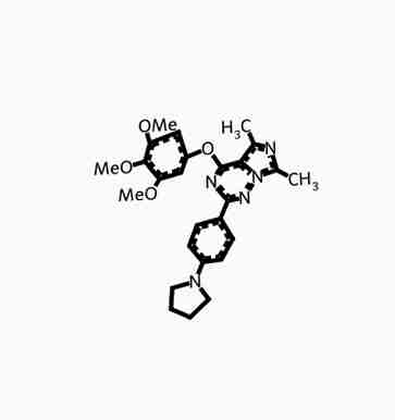 COc1cc(Oc2nc(-c3ccc(N4CCCC4)cc3)nn3c(C)nc(C)c23)cc(OC)c1OC